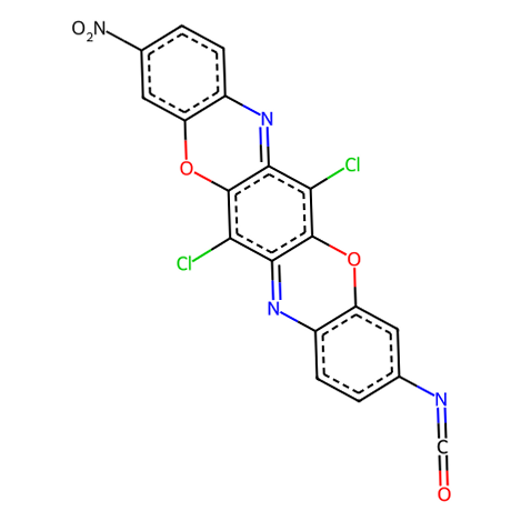 O=C=Nc1ccc2c(c1)Oc1c(Cl)c3c(c(Cl)c1=N2)Oc1cc([N+](=O)[O-])ccc1N=3